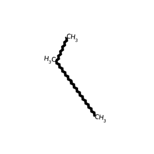 CCCCCCCCCCCCCCCCCC=CCCCCCCCCCC(C)CCCCCCCCCCC